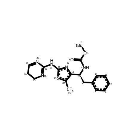 CC(C)(C)OC(=O)N[C@@H](Cc1ccccc1)c1nc(NC2=NCCC=N2)sc1C(F)(F)F